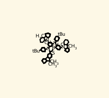 CC(C)(C)c1ccc(N2c3cc(N4c5ccccc5C5(C)CCCCC45C)ccc3B3c4sc5cc6c(cc5c4N(c4ccc(C(C)(C)C)cc4)c4cc(N5c7ccccc7C7(C)CCCCC57C)cc2c43)-c2ccccc2C6(C)C)cc1